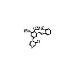 COc1c(/C=C/c2ccccc2C=O)cc(-n2ccncc2=O)cc1C(C)(C)C